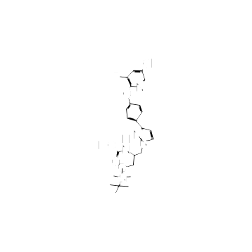 CC(C)(C)[Si](C)(C)OCC(Cn1ccc(-c2ccc(Oc3ncc(Cl)cc3F)cc2)n1)NC(=O)O